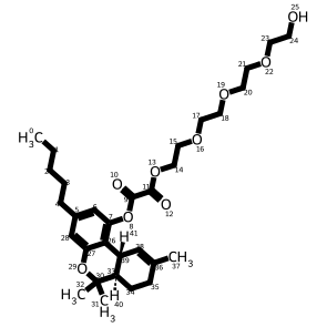 CCCCCc1cc(OC(=O)C(=O)OCCOCCOCCOCCO)c2c(c1)OC(C)(C)[C@@H]1CCC(C)=C[C@@H]21